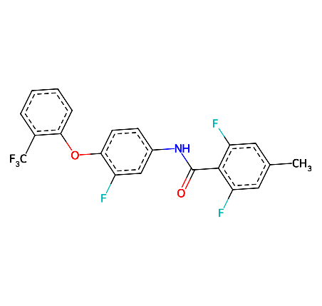 Cc1cc(F)c(C(=O)Nc2ccc(Oc3ccccc3C(F)(F)F)c(F)c2)c(F)c1